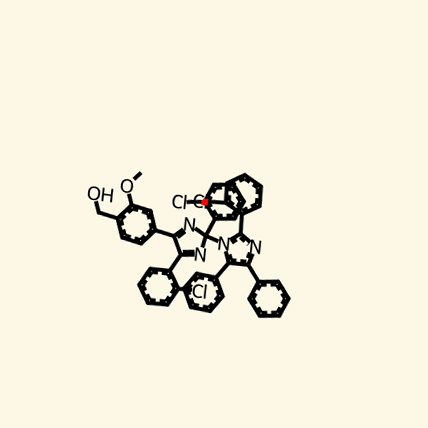 COc1cc(C2=NC(c3ccccc3Cl)(n3c(-c4ccccc4Cl)nc(-c4ccccc4)c3-c3ccccc3)N=C2c2ccccc2Cl)ccc1CO